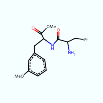 COC(=O)C(Cc1cccc(OC)c1)NC(=O)C(N)CC(C)C